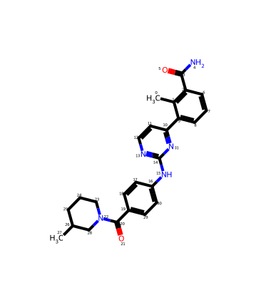 Cc1c(C(N)=O)cccc1-c1ccnc(Nc2ccc(C(=O)N3CCCC(C)C3)cc2)n1